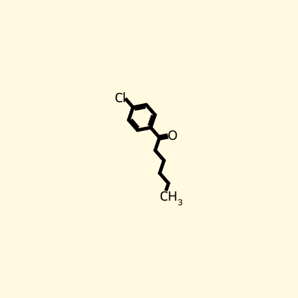 CCCCCC(=O)c1ccc(Cl)cc1